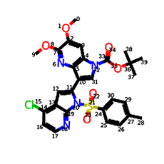 COc1cc2c(nc1OC)c(-c1cc3c(Cl)ccnc3n1S(=O)(=O)c1ccc(C)cc1)cn2C(=O)OC(C)(C)C